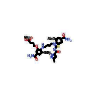 CCn1nc(C)cc1C(=O)/N=c1\sc2cc(C(N)=O)cc(OC)c2n1C/C=C/CNc1c(OCCCC(=O)OC(C)(C)C)cc(C(N)=O)cc1[N+](=O)[O-]